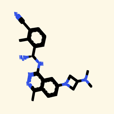 Cc1c(C#N)cccc1[C@@H](N)Nc1nnc(C)c2ccc(N3CC(N(C)C)C3)cc12